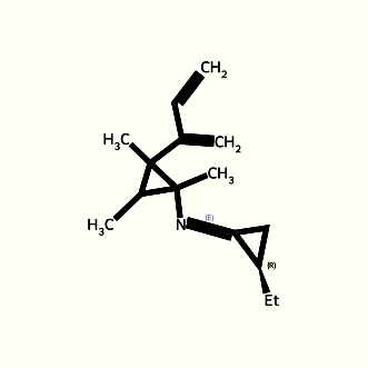 C=CC(=C)C1(C)C(C)C1(C)/N=C1\C[C@H]1CC